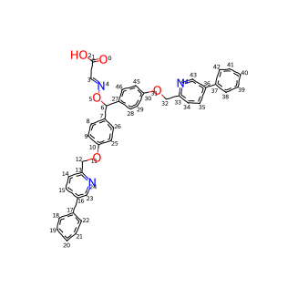 O=C(O)C=NOC(c1ccc(OCc2ccc(-c3ccccc3)cn2)cc1)c1ccc(OCc2ccc(-c3ccccc3)cn2)cc1